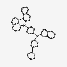 c1ccc(-c2ccc(N(c3ccc(N4c5ccc6ccccc6c5-c5cccc6cccc4c56)cc3)c3ccc4ccccc4c3)cc2)cc1